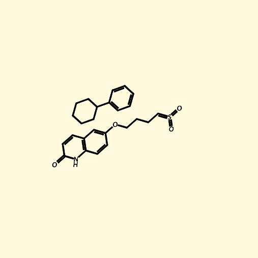 O=c1ccc2cc(OCCCC=S(=O)=O)ccc2[nH]1.c1ccc(C2CCCCC2)cc1